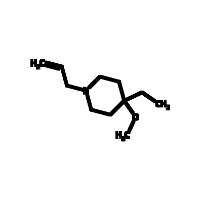 C=CCN1CCC(CC)(OC)CC1